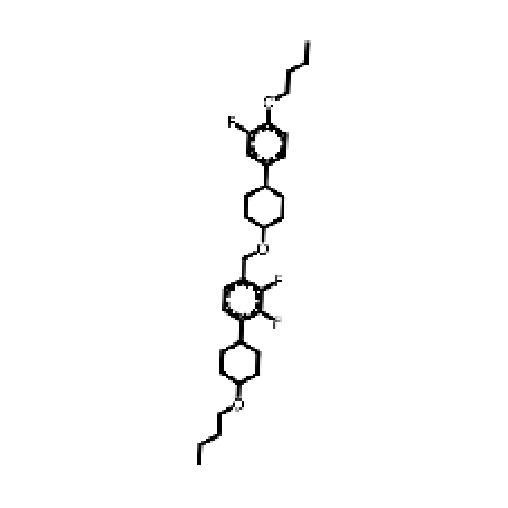 CCCCOc1ccc(C2CCC(OCc3ccc(C4CCC(OCCCC)CC4)c(F)c3F)CC2)cc1F